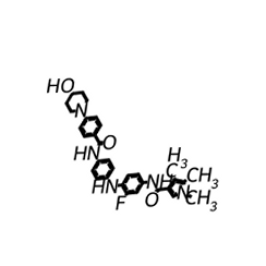 Cc1c(C(=O)Nc2ccc(Nc3ccc(NC(=O)c4ccc(N5CCC(O)CC5)cc4)cc3)c(F)c2)cn(C)c1C